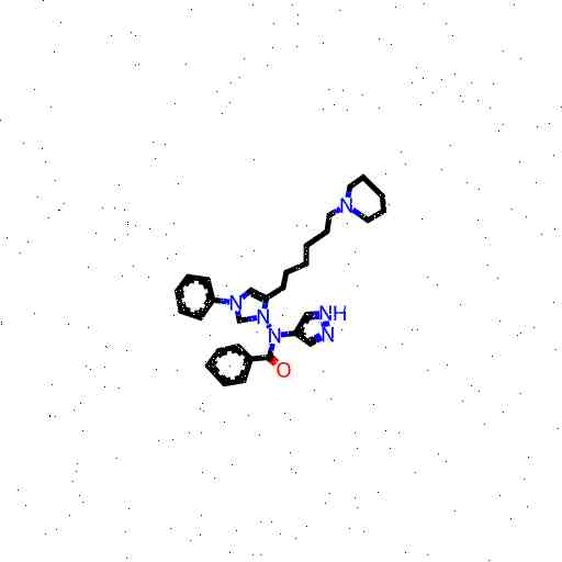 O=C(c1ccccc1)N(c1cn[nH]c1)N1CN(c2ccccc2)C=C1CCCCCCN1CCCCC1